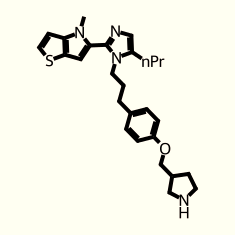 CCCc1cnc(-c2cc3sccc3n2C)n1CCCc1ccc(OCC2CCNC2)cc1